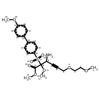 COCCOCC#CC(N)C(OC)(C(=O)OC)S(=O)(=O)c1ccc(-c2ccc(OC)cc2)cc1